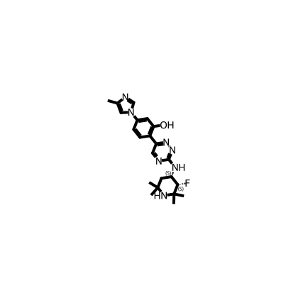 Cc1cn(-c2ccc(-c3cnc(N[C@H]4CC(C)(C)NC(C)(C)[C@H]4F)nn3)c(O)c2)cn1